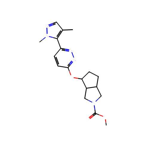 Cc1cnn(C)c1-c1ccc(OC2CCC3CN(C(=O)OC(C)(C)C)CC32)nn1